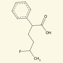 CC(F)CCC(C(=O)O)c1ccccc1